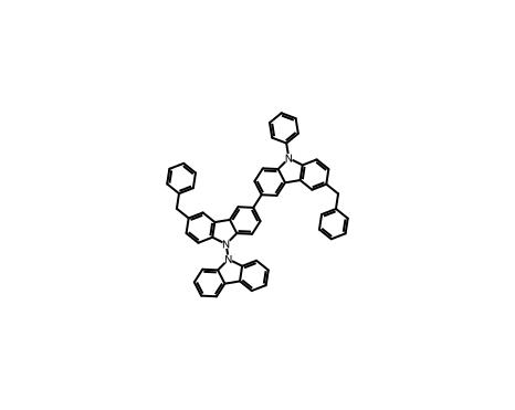 c1ccc(Cc2ccc3c(c2)c2cc(-c4ccc5c(c4)c4cc(Cc6ccccc6)ccc4n5-n4c5ccccc5c5ccccc54)ccc2n3-c2ccccc2)cc1